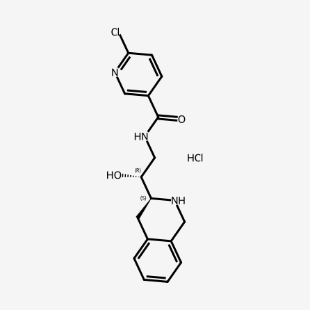 Cl.O=C(NC[C@@H](O)[C@@H]1Cc2ccccc2CN1)c1ccc(Cl)nc1